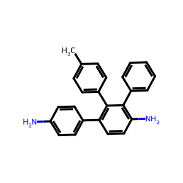 Cc1ccc(-c2c(-c3ccc(N)cc3)ccc(N)c2-c2ccccc2)cc1